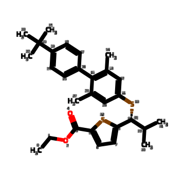 CCOC(=O)c1ccc([C@H](Sc2cc(C)c(-c3ccc(C(C)(C)C)cc3)c(C)c2)C(C)C)s1